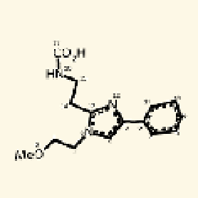 COCCn1cc(-c2ccccc2)nc1CCNC(=O)O